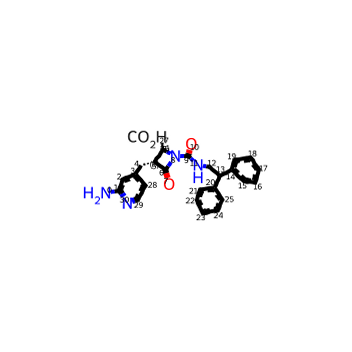 Nc1cc(C[C@H]2C(=O)N(C(=O)NCC(c3ccccc3)c3ccccc3)[C@@H]2C(=O)O)ccn1